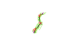 FC(F)=C(OC(=C(F)F)C(F)(F)C(F)(F)C(F)(F)OC(F)(F)C(F)(F)I)C(F)(F)C(F)(F)C(F)(F)OC(F)(F)C(F)(F)I